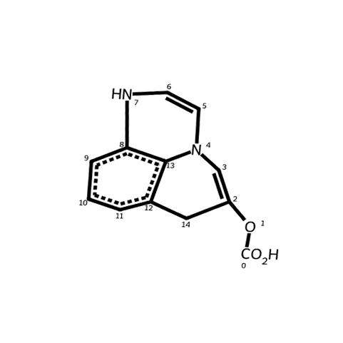 O=C(O)OC1=CN2C=CNc3cccc(c32)C1